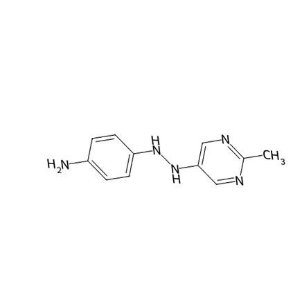 Cc1ncc(NNc2ccc(N)cc2)cn1